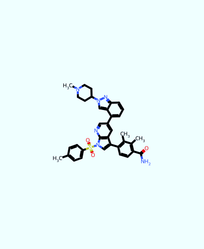 Cc1ccc(S(=O)(=O)n2cc(-c3ccc(C(N)=O)c(C)c3C)c3cc(-c4cccc5nn(C6CCN(C)CC6)cc45)cnc32)cc1